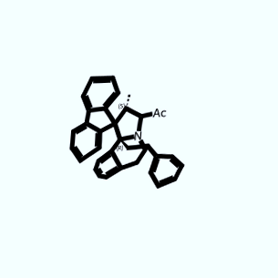 CC(=O)C1[C@@H](C)C2(c3ccccc3-c3ccccc32)[C@@]2(CCc3ccccc3)c3ccccc3CCN12